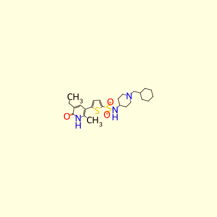 CCc1cc(-c2ccc(S(=O)(=O)NC3CCN(CC4CCCCC4)CC3)s2)c(C)[nH]c1=O